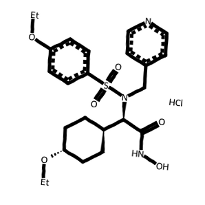 CCOc1ccc(S(=O)(=O)N(Cc2ccncc2)[C@@H](C(=O)NO)[C@H]2CC[C@H](OCC)CC2)cc1.Cl